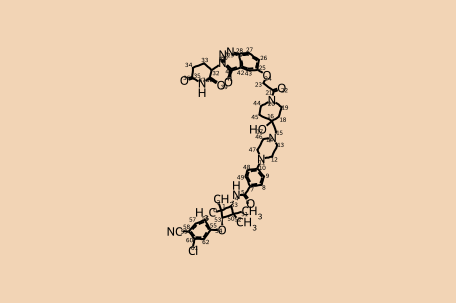 CC1(C)[C@H](NC(=O)c2ccc(N3CCN(CC4(O)CCN(C(=O)COc5ccc6nnn(C7CCC(=O)NC7=O)c(=O)c6c5)CC4)CC3)cc2)C(C)(C)[C@H]1Oc1ccc(C#N)c(Cl)c1